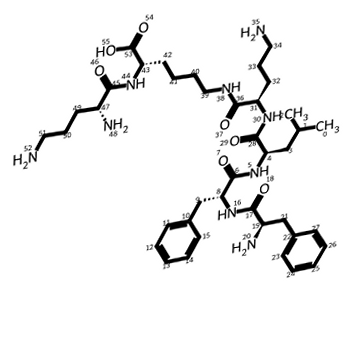 CC(C)C[C@@H](NC(=O)[C@@H](Cc1ccccc1)NC(=O)[C@H](N)Cc1ccccc1)C(=O)N[C@H](CCCN)C(=O)NCCCC[C@H](NC(=O)[C@H](N)CCCN)C(=O)O